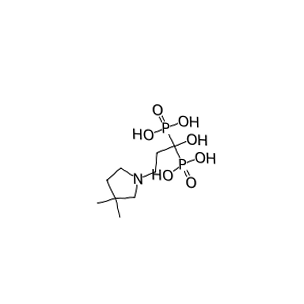 CC1(C)CCN(CCC(O)(P(=O)(O)O)P(=O)(O)O)C1